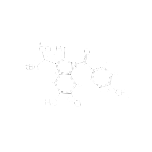 Cc1c(C(C(=O)O)C(C)(C)C)c2cc(O)c(Cl)cc2n1C(=O)c1ccc(C(F)(F)F)cc1